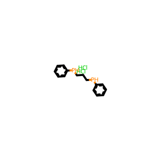 Cl.Cl.c1ccc(PCCCPc2ccccc2)cc1